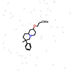 COCCOC1CCN2CC(C)(c3ccccc3)CCC2C1